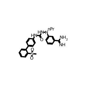 CCCN(NC(=O)Nc1ccc(-c2ccccc2S(C)(=O)=O)cc1)c1cccc(C(=N)N)c1